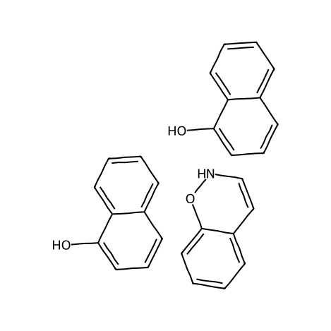 C1=Cc2ccccc2ON1.Oc1cccc2ccccc12.Oc1cccc2ccccc12